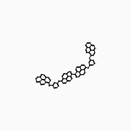 O=C(c1cccc(C(=O)c2ccc3ccc4c(-c5ccc6ccc7c(Cc8cccc(Cc9ccc%10ccc%11cccc%12ccc9c%10c%11%12)c8)ccc8ccc5c6c87)ccc5ccc2c3c54)c1)c1ccc2ccc3cccc4ccc1c2c34